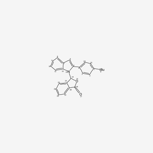 CC(C)(C)c1ccc(-c2cc3ccccc3n2C2OC(=O)c3ccccc32)cc1